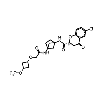 O=C(CO[C@H]1C[C@@H](OC(F)(F)F)C1)NC12CCC(NC(=O)[C@H]3CC(=O)c4cc(Cl)ccc4O3)(C1)C2